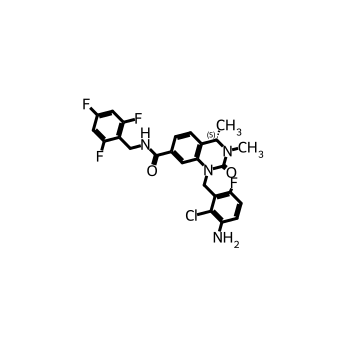 C[C@H]1c2ccc(C(=O)NCc3c(F)cc(F)cc3F)cc2N(Cc2c(F)ccc(N)c2Cl)C(=O)N1C